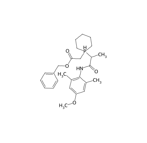 COc1cc(C)c(NC(=O)C(C)[PH]2(CC(=O)OCc3ccccc3)CCCCC2)c(C)c1